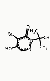 CC(C)(C)n1ncc(O)c(Br)c1=O